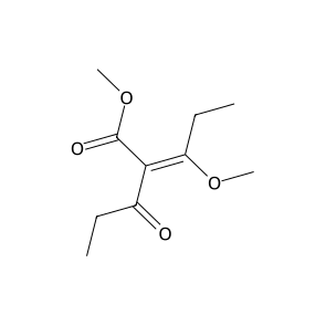 CCC(=O)C(C(=O)OC)=C(CC)OC